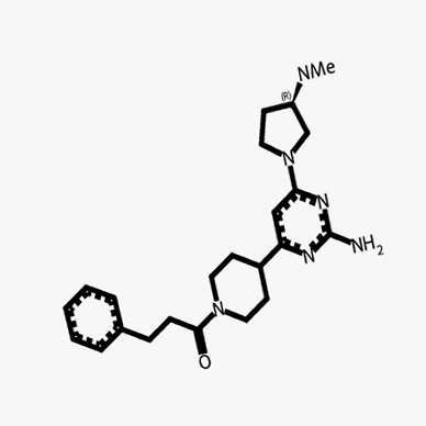 CN[C@@H]1CCN(c2cc(C3CCN(C(=O)CCc4ccccc4)CC3)nc(N)n2)C1